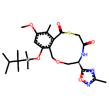 COc1cc(O[Si](C)(C)C(C)(C)C(C)C)c2c(c1C)C(=O)SCC(=O)N[C@@H](c1nc(C)no1)COC2